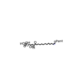 CCCCC/C=C\CCCCCCCCCCC(=O)NCC(O)COP(=O)(O)O